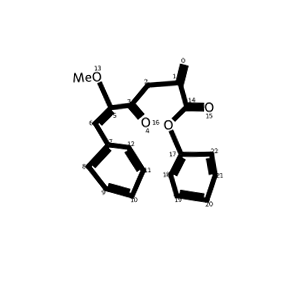 C=C(CC(=O)C(=Cc1ccccc1)OC)C(=O)Oc1ccccc1